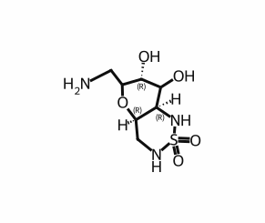 NCC1O[C@@H]2CNS(=O)(=O)N[C@@H]2C(O)[C@H]1O